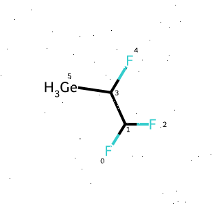 FC(F)[CH](F)[GeH3]